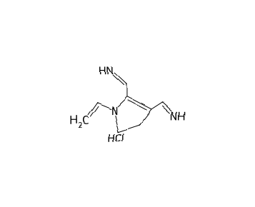 C=CN1CCC(C=N)=C1C=N.Cl